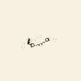 COc1cc(/C=C/C(=O)CC(=O)/C=C/c2ccc(OP(=O)(O)OP(=O)(O)O)c(OC)c2)ccc1O.N